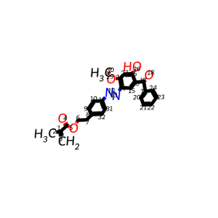 C=C(C)C(=O)OCCc1ccc(/N=N/c2cc(C(=O)c3ccccc3)c(O)cc2OC)cc1